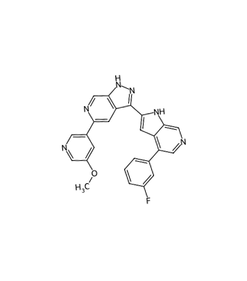 COc1cncc(-c2cc3c(-c4cc5c(-c6cccc(F)c6)cncc5[nH]4)n[nH]c3cn2)c1